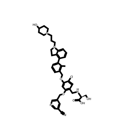 Cc1c(COc2cc(OCc3cncc(C#N)c3)c(CN[C@@H](CO)C(=O)O)cc2Cl)cccc1-c1cccc2c1CCN2CCCN1CCC(O)CC1